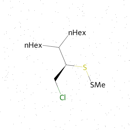 CCCCCCC(CCCCCC)[C@H](CCl)SSC